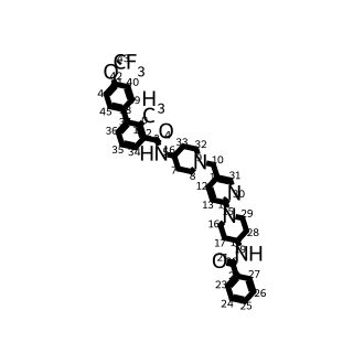 Cc1c(C(=O)NC2CCN(Cc3ccc(N4CCC(NC(=O)c5ccccc5)CC4)nc3)CC2)cccc1-c1ccc(OC(F)(F)F)cc1